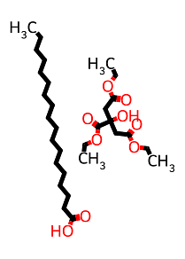 CCCCCCCCCCCCCCCCCC(=O)O.CCOC(=O)CC(O)(CC(=O)OCC)C(=O)OCC